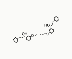 O[C@H](CCc1ccccc1)c1cccc(OCCCCCCOc2cccc([C@H](O)CCc3ccccc3)c2)c1